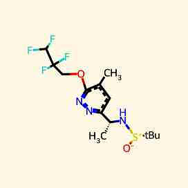 Cc1cc([C@@H](C)N[S+]([O-])C(C)(C)C)nnc1OCC(F)(F)C(F)F